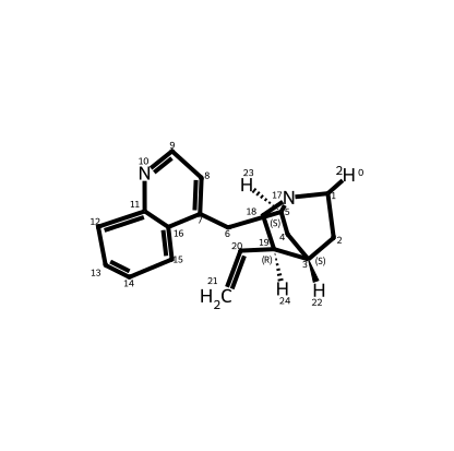 [2H]C1C[C@H]2C[C@@H](Cc3ccnc4ccccc34)N1C[C@@H]2C=C